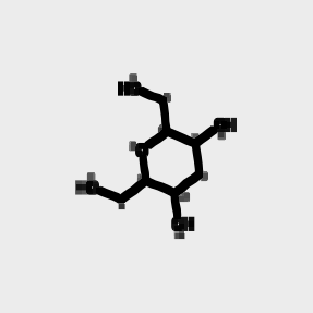 OCC1OC(CO)C(O)CC1O